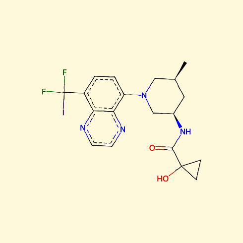 C[C@H]1C[C@@H](NC(=O)C2(O)CC2)CN(c2ccc(C(F)(F)I)c3nccnc23)C1